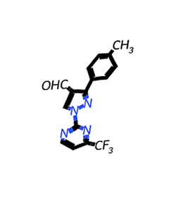 Cc1ccc(-c2nn(-c3nccc(C(F)(F)F)n3)cc2C=O)cc1